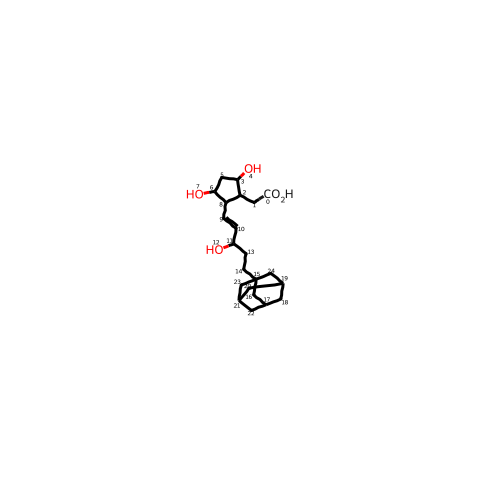 O=C(O)CC1C(O)CC(O)C1C=CC(O)CCC12CC3CC(CC(C3)C1)C2